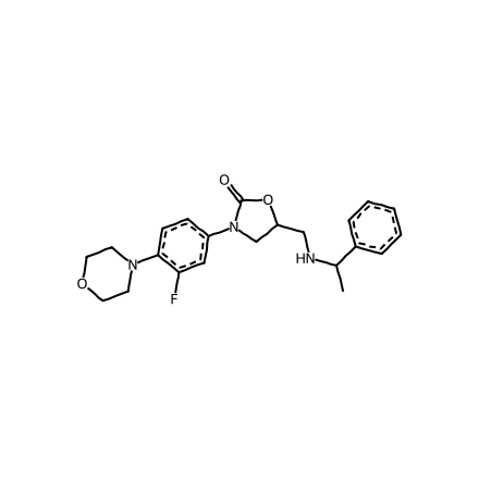 CC(NCC1CN(c2ccc(N3CCOCC3)c(F)c2)C(=O)O1)c1ccccc1